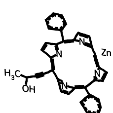 CC(O)C#CC1=C2C=CC(=N2)C(c2ccccc2)=C2C=CC(=N2)C=C2C=CC(=N2)C(c2ccccc2)=C2C=CC1=N2.[Zn]